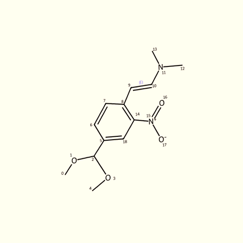 COC(OC)c1ccc(/C=C/N(C)C)c([N+](=O)[O-])c1